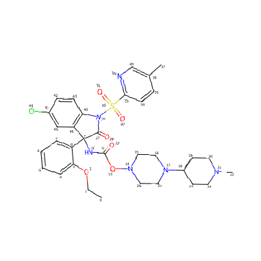 CCOc1ccccc1C1(NC(=O)ON2CCN(C3CCN(C)CC3)CC2)C(=O)N(S(=O)(=O)c2ccc(C)cn2)c2ccc(Cl)cc21